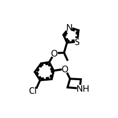 CC(Oc1ccc(Cl)cc1OC1CNC1)c1cncs1